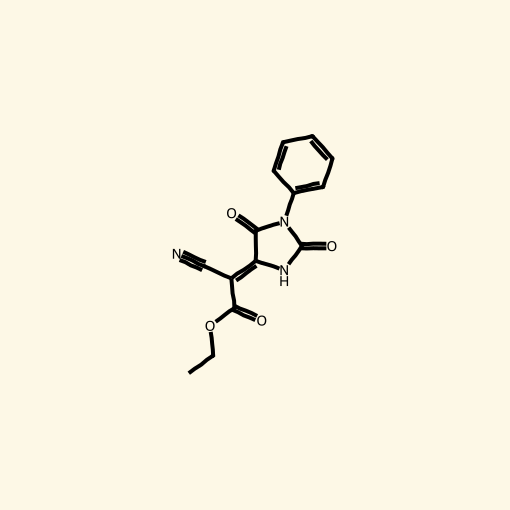 CCOC(=O)C(C#N)=C1NC(=O)N(c2ccccc2)C1=O